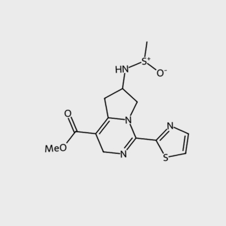 COC(=O)C1=C2CC(N[S+](C)[O-])CN2C(c2nccs2)=NC1